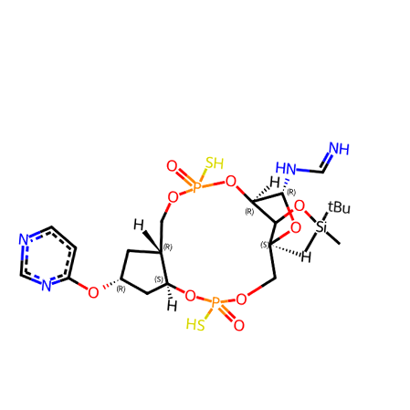 CC(C)(C)[Si](C)(C)OC1[C@@H]2COP(=O)(S)O[C@H]3C[C@H](Oc4ccncn4)C[C@@H]3COP(=O)(S)O[C@H]1[C@H](NC=N)O2